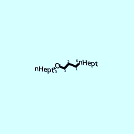 [CH2]CCCCCCCCCOCCCCCC[CH2]